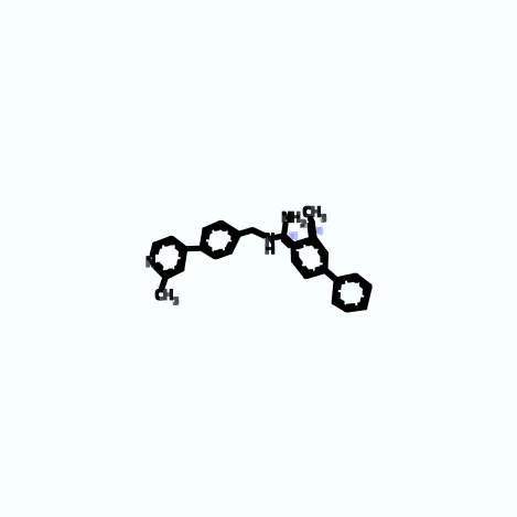 C/C=c1/cc(-c2ccccc2)cc/c1=C(/N)NCc1ccc(-c2ccnc(C)c2)cc1